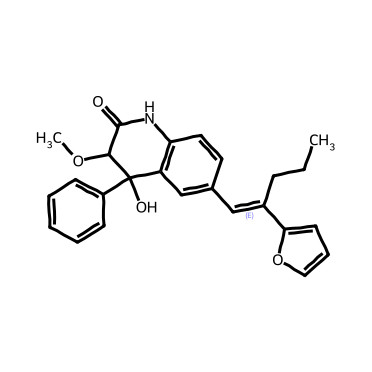 CCC/C(=C\c1ccc2c(c1)C(O)(c1ccccc1)C(OC)C(=O)N2)c1ccco1